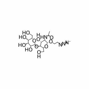 CC(=O)NC1[C@H](OCCN=[N+]=[N-])OC(CO)[C@@H](O[C@@H]2OC(CO)[C@H](O)[C@H](O)C2O)[C@@H]1O